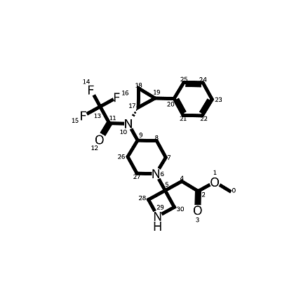 COC(=O)CC1(N2CCC(N(C(=O)C(F)(F)F)[C@@H]3CC3c3ccccc3)CC2)CNC1